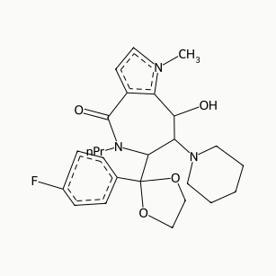 CCCN1C(=O)c2ccn(C)c2C(O)C(N2CCCCC2)C1C1(c2ccc(F)cc2)OCCO1